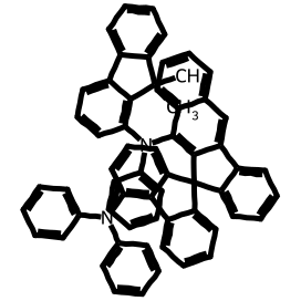 CC1(C)c2ccccc2-c2cccc(N(c3ccccc3)c3c4c(cc5ccccc35)-c3ccccc3C43c4ccccc4-c4c(N(c5ccccc5)c5ccccc5)cccc43)c21